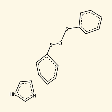 c1c[nH]cn1.c1ccc(SOSc2ccccc2)cc1